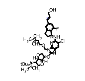 CC(C)(C)[Si](C)(C)OC1CO[C@H]2[C@@H]1OC[C@H]2Oc1nc2cc(Cl)c(N[C@H]3CCc4cc(/C=C/CO)cc(F)c43)nc2n1COCC[Si](C)(C)C